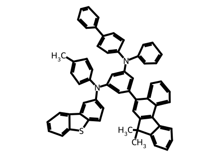 Cc1ccc(N(c2cc(-c3cc4c(c5ccccc35)-c3ccccc3C4(C)C)cc(N(c3ccccc3)c3ccc(-c4ccccc4)cc3)c2)c2ccc3sc4ccccc4c3c2)cc1